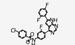 O=S(=O)(Nc1ccc(-c2ncnc3[nH]c(-c4cc(F)ccc4F)cc23)c(F)c1)c1ccc(Cl)cc1